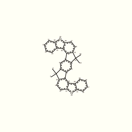 CC1(C)c2cc3c(cc2-c2c1ccc1oc4ccccc4c21)C(C)(C)c1ccc2oc4ccccc4c2c1-3